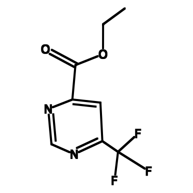 CCOC(=O)c1cc(C(F)(F)F)ncn1